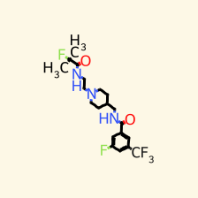 CC(C)(F)C(=O)NCCN1CCC(CNC(=O)c2cc(F)cc(C(F)(F)F)c2)CC1